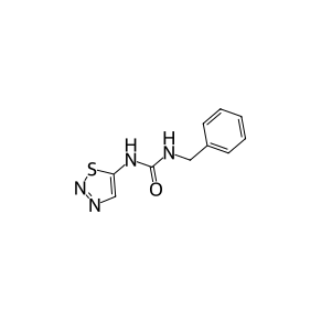 O=C(NCc1ccccc1)Nc1cnns1